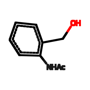 CC(=O)Nc1ccccc1CO